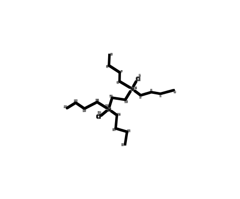 CCCC[Si](Cl)(CCCC)CC[Si](Cl)(CCCC)CCCC